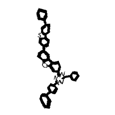 c1ccc(-c2ccc(-c3nc(-c4ccccc4)nc(-c4ccc5c(c4)oc4ccc(-c6ccc7c(c6)sc6cc(-c8ccccc8)ccc67)cc45)n3)cc2)cc1